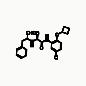 O=CC(Cc1ccccc1)NC(=O)C(=O)Nc1cc(Cl)ccc1OC1CCC1